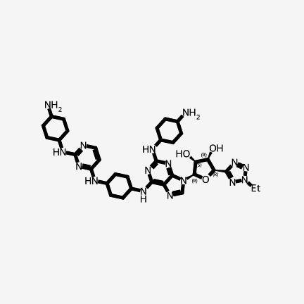 CCn1nnc([C@H]2O[C@@H](n3cnc4c(NC5CCC(Nc6ccnc(NC7CCC(N)CC7)n6)CC5)nc(NC5CCC(N)CC5)nc43)[C@@H](O)[C@H]2O)n1